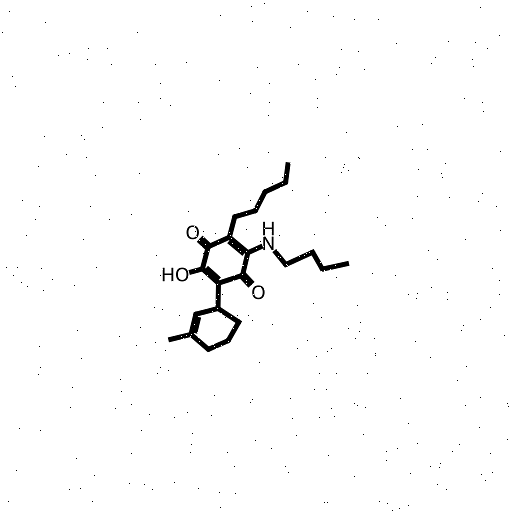 CCCCCC1=C(NCCCC)C(=O)C(C2C=C(C)CCC2)=C(O)C1=O